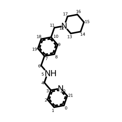 c1ccc(CNCc2ccc(CN3CCCCC3)cc2)nc1